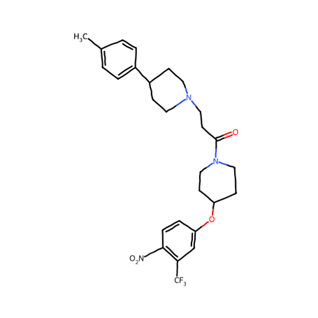 Cc1ccc(C2CCN(CCC(=O)N3CCC(Oc4ccc([N+](=O)[O-])c(C(F)(F)F)c4)CC3)CC2)cc1